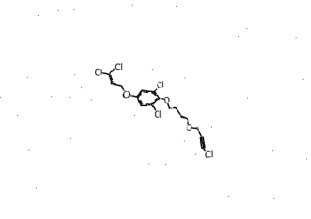 ClC#CCOCCCCOc1c(Cl)cc(OCC=C(Cl)Cl)cc1Cl